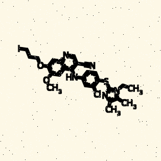 CCn1c(Sc2ccc(Nc3c(C#N)cnc4cc(OCCCI)c(OC)cc34)cc2Cl)nc(C)c1C